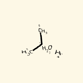 CCC.O.[H]